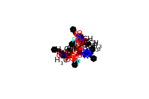 CO[C@@H]1[C@H](O[Si](C)(C)C(C)(C)C)[C@@H](COP(=O)(OCc2ccccc2C(F)(F)F)O[C@H]2[C@@H](OC)[C@H](n3cnc4c(N(Cc5ccccc5)Cc5ccccc5)ncnc43)O[C@@H]2COP(=O)(OCc2ccccc2C(F)(F)F)O[C@H]2[C@@H](OC)[C@H](n3ccc(=O)n(COCc4ccccc4)c3=O)O[C@@H]2CO[Si](C)(C)C(C)(C)C)O[C@H]1n1ccc(=O)n(COCc2ccccc2)c1=O